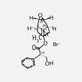 CC[N+]1(C)[C@@H]2CC(OC(=O)[C@H](CO)c3ccccc3)C[C@H]1[C@@H]1O[C@@H]12.[Br-]